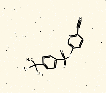 CC(C)(C)c1ccc(S(=O)(=O)Oc2ccc(C#N)nn2)cc1